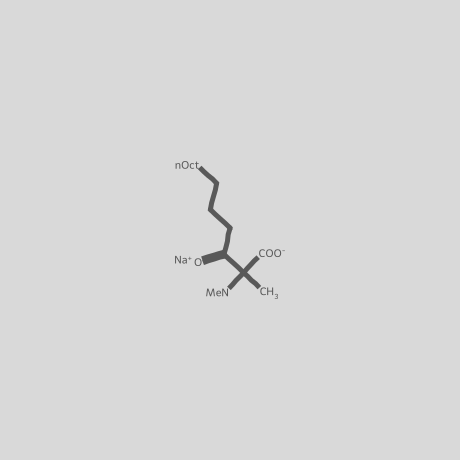 CCCCCCCCCCCC(=O)C(C)(NC)C(=O)[O-].[Na+]